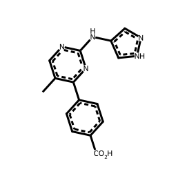 Cc1cnc(Nc2cn[nH]c2)nc1-c1ccc(C(=O)O)cc1